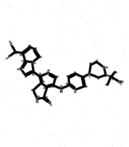 CC(C)(O)[C@@H]1CN(c2ccc(Nc3cnc(-c4cnc5c(C(F)F)cccn45)c4c3C(=O)NC4)nc2)CCO1